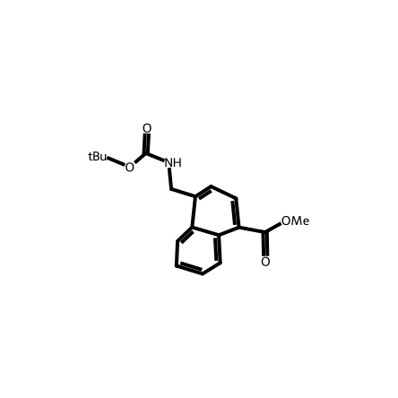 COC(=O)c1ccc(CNC(=O)OC(C)(C)C)c2ccccc12